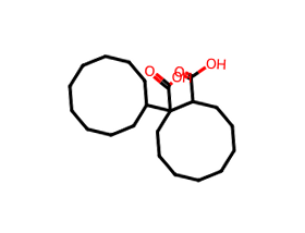 O=C(O)C1CCCCCCCCC1(C(=O)O)C1CCCCCCCCC1